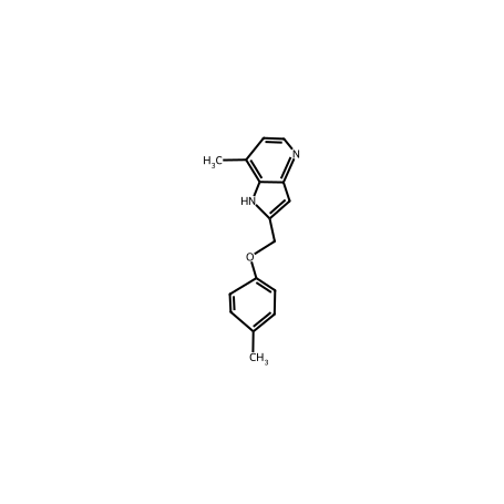 Cc1ccc(OCc2cc3nccc(C)c3[nH]2)cc1